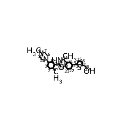 Cc1ccc(N2CCN(C)CC2)cc1C(=O)N[C@H](C)c1cccc(-c2ccc(CO)s2)c1